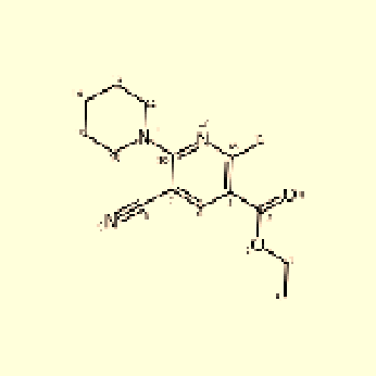 CCOC(=O)c1cc(C#N)c(N2C[CH]CCC2)nc1C